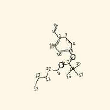 C=Cc1ccc(OC(OCCCCC)C(C)(C)C)cc1